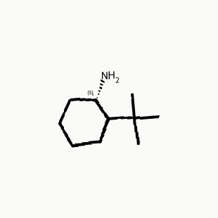 CC(C)(C)C1CCCC[C@@H]1N